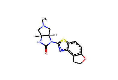 CN1C[C@H]2NC(=O)N(c3nc4c5c(ccc4s3)OCC5)[C@H]2C1